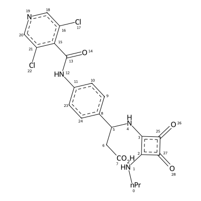 CCCNc1c(NC(CC(=O)O)c2ccc(NC(=O)c3c(Cl)cncc3Cl)cc2)c(=O)c1=O